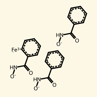 O=C(N[O-])c1ccccc1.O=C(N[O-])c1ccccc1.O=C(N[O-])c1ccccc1.[Fe+3]